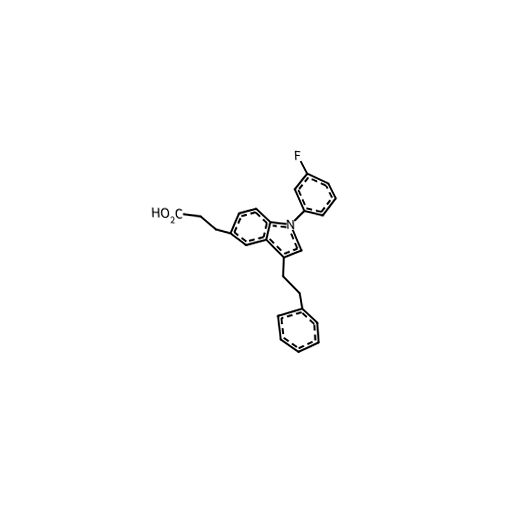 O=C(O)CCc1ccc2c(c1)c(CCc1ccccc1)cn2-c1cccc(F)c1